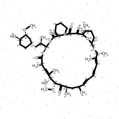 CO[C@@H]1C[C@H](C[C@@H](C)[C@@H]2CC(=O)[C@H](C)/C=C(\C)[C@@H](O)[C@@H](OC)C(=O)[C@H](C)CC(C)/C=C/C=C/C=C(\C)[C@@H](C)C[C@@H]3CC[C@@H](C)[C@@](O)(O3)C(=O)C(=O)N3CCCC[C@H]3C(=O)O2)CC[C@H]1O